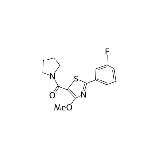 COc1nc(-c2cccc(F)c2)sc1C(=O)N1CCCC1